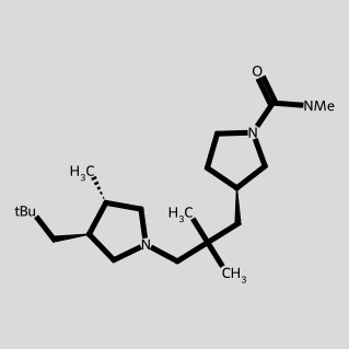 CNC(=O)N1CC[C@H](CC(C)(C)CN2C[C@@H](CC(C)(C)C)[C@H](C)C2)C1